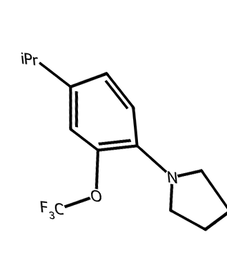 CC(C)c1ccc(N2CCCC2)c(OC(F)(F)F)c1